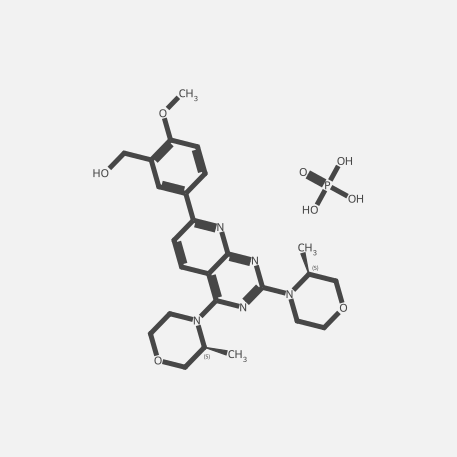 COc1ccc(-c2ccc3c(N4CCOC[C@@H]4C)nc(N4CCOC[C@@H]4C)nc3n2)cc1CO.O=P(O)(O)O